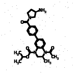 CC(=O)N1c2ccc(-c3ccc(C(=O)N4CC[C@@H](N)C4)cc3)cc2N(C(=O)OC(C)C)C[C@@H]1C